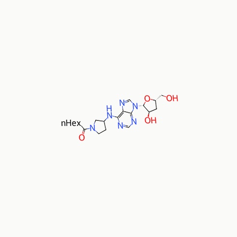 CCCCCCC(=O)N1CCC(Nc2ncnc3c2ncn3[C@@H]2O[C@H](CO)C[C@H]2O)C1